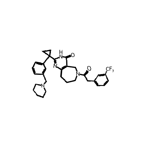 O=C(Cc1cccc(C(F)(F)F)c1)N1CCCc2nc(C3(c4cccc(CN5CCCCC5)c4)CC3)[nH]c(=O)c2C1